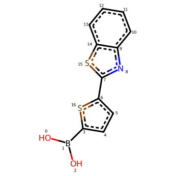 OB(O)c1ccc(-c2nc3ccccc3s2)s1